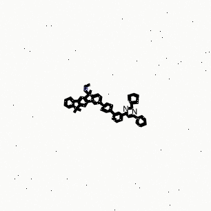 C/C=C\C1(C)c2ccc(-c3ccc(-c4cccc(-c5cc(-c6ccccc6)nc(-c6ccccc6)n5)c4)cc3)cc2-c2cc3c(cc21)-c1ccccc1C3(C)C